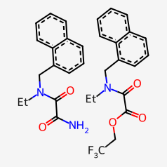 CCN(Cc1cccc2ccccc12)C(=O)C(=O)OCC(F)(F)F.CCN(Cc1cccc2ccccc12)C(=O)C(N)=O